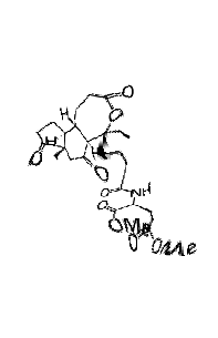 COC(=O)C[C@H](NC(=O)CC[C@@]1(C)OC(=O)CC[C@@H]2[C@@H]1C(=O)C[C@]1(C)C(=O)CC[C@@H]21)C(=O)OC